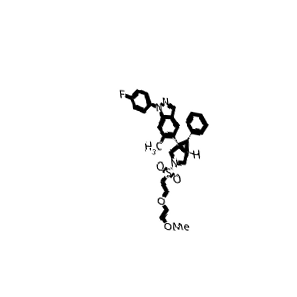 COCCOCCS(=O)(=O)N1C[C@@H]2[C@@H](c3ccccc3)[C@]2(c2cc3cnn(-c4ccc(F)cc4)c3cc2C)C1